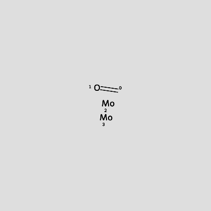 C=O.[Mo].[Mo]